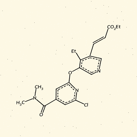 CCOC(=O)/C=C/c1cncc(Oc2cc(C(=O)N(C)C)cc(Cl)n2)c1CC